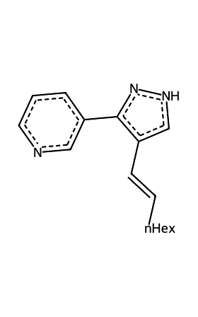 CCCCCCC=Cc1c[nH]nc1-c1cccnc1